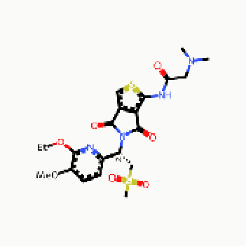 CCOc1nc([C@@H](CS(C)(=O)=O)N2C(=O)c3csc(NC(=O)CN(C)C)c3C2=O)ccc1OC